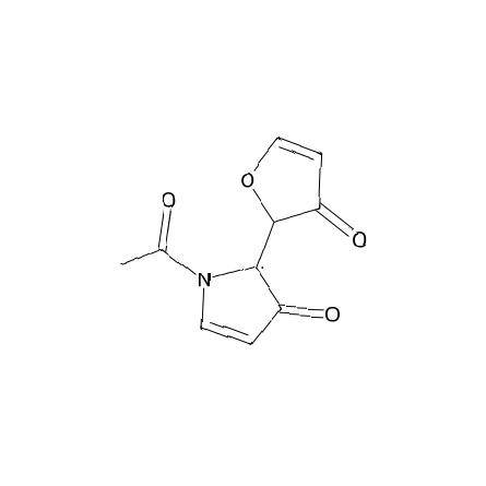 CC(=O)N1C=CC(=O)[C]1C1OC=CC1=O